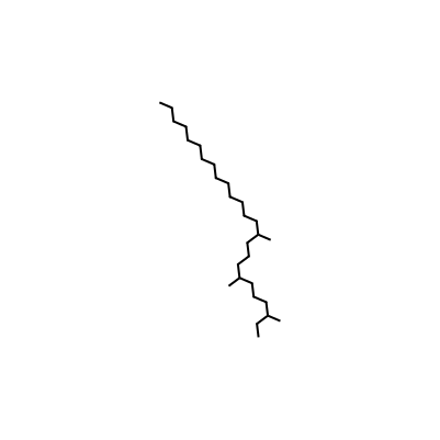 CCCCCCCCCCCCCCC(C)CCCC(C)CCCC(C)CC